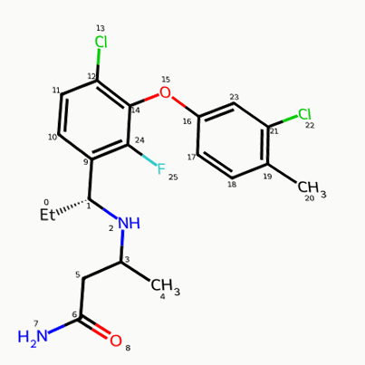 CC[C@@H](NC(C)CC(N)=O)c1ccc(Cl)c(Oc2ccc(C)c(Cl)c2)c1F